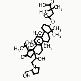 CC(C)C1=C2[C@@]([C@H](O)CN3CCC[C@H]3CO)(CC[C@]3(C)[C@]2(C)CCC2[C@@]4(C)CC[C@H](OC(=O)CC(C)(C)C(=O)O)C(C)(C)C4CC[C@]23C)CC1=O